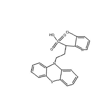 O=S(=O)(O)C(CCN1c2ccccc2Sc2ccccc21)c1ncccc1Cl